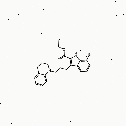 CCOC(=O)c1[nH]c2c(Br)cccc2c1CCCN1CCCc2ccccc21